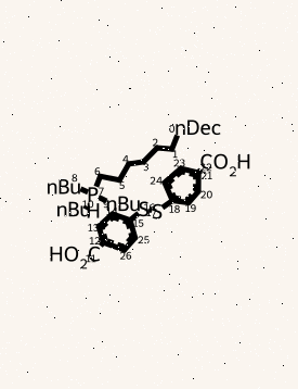 CCCCCCCCCCCCCCCC[PH](CCCC)(CCCC)CCCC.O=C(O)c1ccc(SSc2ccc(C(=O)O)cc2)cc1